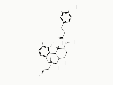 C=CCN1CC[C@]23c4c5ccc(O)c4OC2(C)C(N(C)C(=O)CCc2ccc(C)c(C)c2)CC[C@@]3(O)[C@H]1C5